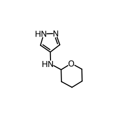 c1n[nH]cc1NC1CCCCO1